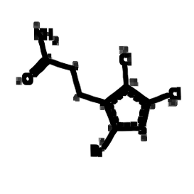 NC(=O)[CH]Cc1c(Br)sc(Cl)c1Cl